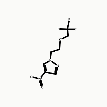 O=[N+]([O-])c1cnn(CCOCC(F)(F)F)c1